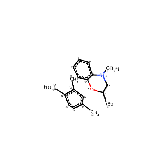 CC(C)(C)C1CN(C(=O)O)c2ccccc2O1.Cc1ccc(S(=O)(=O)O)c(C)c1